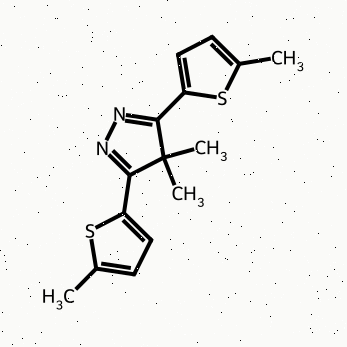 Cc1ccc(C2=NN=C(c3ccc(C)s3)C2(C)C)s1